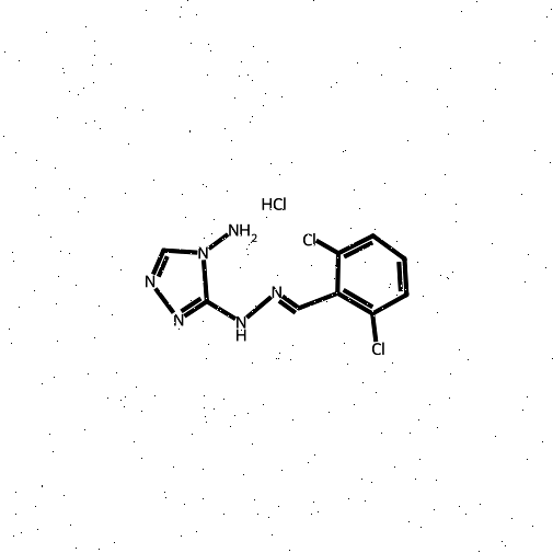 Cl.Nn1cnnc1NN=Cc1c(Cl)cccc1Cl